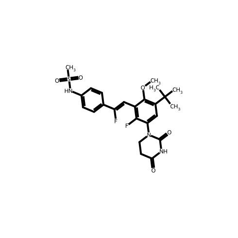 COc1c(C(C)(C)C)cc(N2CCC(=O)NC2=O)c(F)c1/C=C(\F)c1ccc(NS(C)(=O)=O)cc1